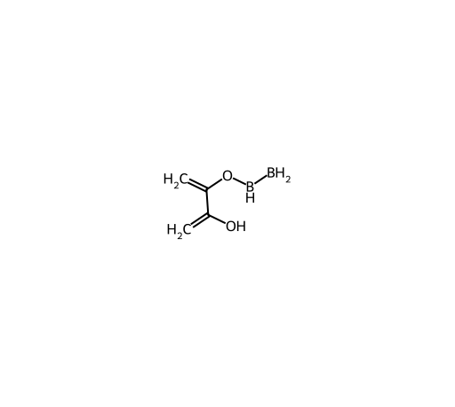 BBOC(=C)C(=C)O